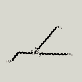 CCCCCC/C=C\CCCCCCCC(=O)O[C@@H](COC(=O)CCCCCCCCCCCCCCCCC)COC(=O)CCCCCCCCCCCCCCCCCCC